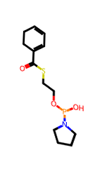 O=C(SCCOP(O)N1CCCC1)C1=CC=CCC1